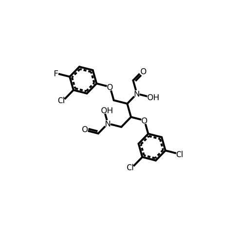 O=CN(O)CC(Oc1cc(Cl)cc(Cl)c1)C(COc1ccc(F)c(Cl)c1)N(O)C=O